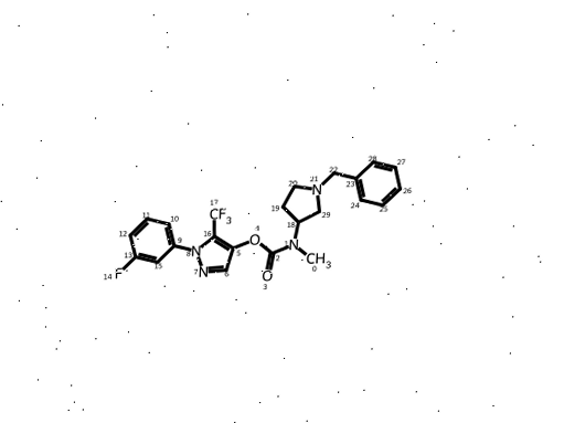 CN(C(=O)Oc1cnn(-c2cccc(F)c2)c1C(F)(F)F)C1CCN(Cc2ccccc2)C1